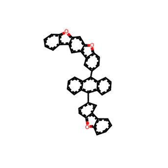 c1ccc2c(c1)oc1ccc(-c3c4ccccc4c(-c4ccc5oc6cc7oc8ccccc8c7cc6c5c4)c4ccccc34)cc12